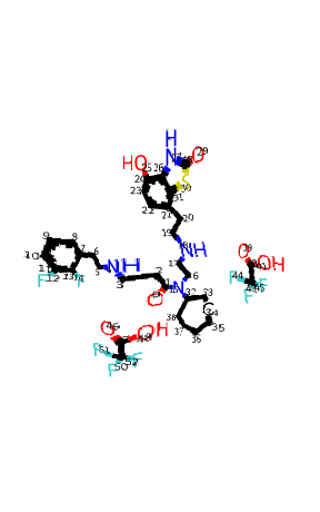 O=C(CCNCCc1cccc(F)c1F)N(CCNCCc1ccc(O)c2[nH]c(=O)sc12)C1CCCCCC1.O=C(O)C(F)(F)F.O=C(O)C(F)(F)F